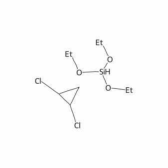 CCO[SiH](OCC)OCC.ClC1CC1Cl